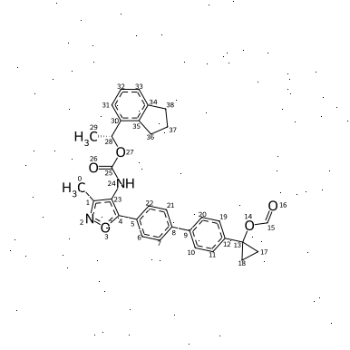 Cc1noc(-c2ccc(-c3ccc(C4(OC=O)CC4)cc3)cc2)c1NC(=O)O[C@H](C)c1cccc2c1CCC2